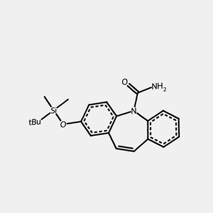 CC(C)(C)[Si](C)(C)Oc1ccc2c(c1)C=Cc1ccccc1N2C(N)=O